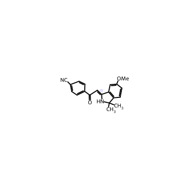 COc1ccc2c(c1)/C(=C/C(=O)c1ccc(C#N)cc1)NC2(C)C